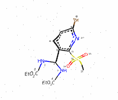 CCOC(=O)NC(NC(=O)OCC)c1ccc(Br)nc1S(C)(=O)=O